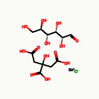 O=C(O)CC(O)(CC(=O)O)C(=O)O.O=C[C@H](O)[C@@H](O)[C@H](O)[C@H](O)CO.[Cl-].[Na+]